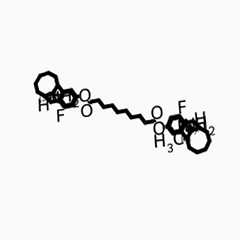 C[C@@]12CCCCC[C@@H](Cc3c(F)cc(OC(=O)CCCCCCCCC(=O)Oc4cc(F)c5c(c4)C4CCCCC[C@@H](C5)[C@@H]4N)cc31)[C@@H]2N